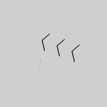 [O-]C[O-].[O-]C[O-].[O-]C[O-].[Tb+3].[Tb+3]